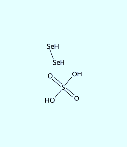 O=S(=O)(O)O.[SeH][SeH]